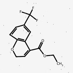 CCOC(=O)C1=CCOc2ccc(C(F)(F)F)cc21